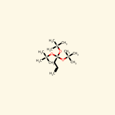 C=CC[Si](O[Si](C)(C)C)(O[Si](C)(C)C)O[Si](C)(C)C